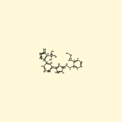 CCOc1ccccc1CCn1cnc(-c2cc(-c3nn[nH]c3[Si](C)(C)C)ccn2)c1